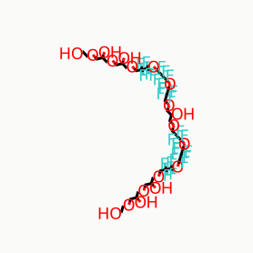 OCCOCC(O)COCC(O)COCC(F)(F)C(F)(F)OC(F)(F)C(F)(F)C(F)(F)OC(F)(F)C(F)(F)COCC(O)COCC(F)(F)C(F)(F)OC(F)(F)C(F)(F)C(F)(F)OC(F)(F)C(F)(F)COCC(O)COCC(O)COCCO